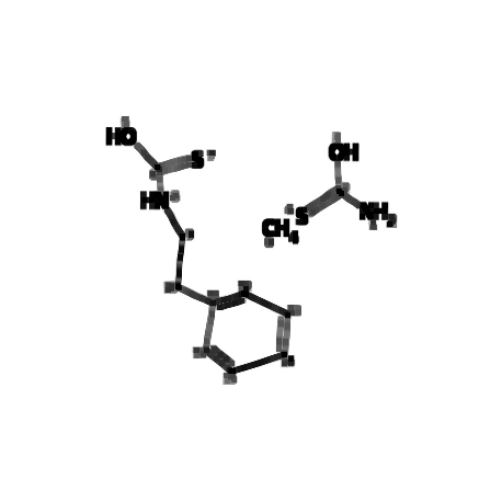 C.NC(O)=S.OC(=S)NCCc1ccccc1